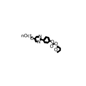 CCCCCCCCOc1cnc(-c2ccc(OC(=O)O[C@@H]3CCCO3)cc2)nc1